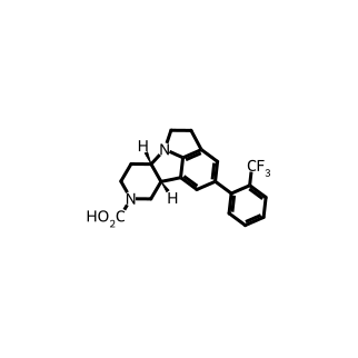 O=C(O)N1CC[C@H]2[C@@H](C1)c1cc(-c3ccccc3C(F)(F)F)cc3c1N2CC3